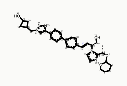 C[C@H](OC1CCCCO1)c1nccn1[C@@H](/C=C/c1ccc(-c2ccc(-c3cn(CC4CC(O)C4)nn3)cc2)cc1)CO